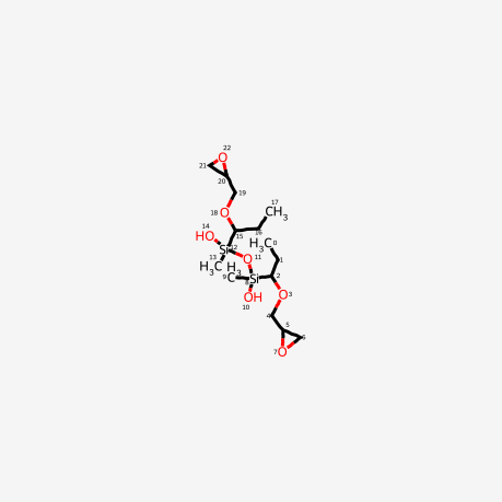 CCC(OCC1CO1)[Si](C)(O)O[Si](C)(O)C(CC)OCC1CO1